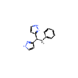 c1ccc([SiH2]C(c2cc[nH]n2)c2cc[nH]n2)cc1